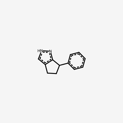 c1ccc(C2CCc3c[nH]nc32)cc1